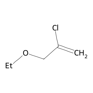 C=C(Cl)COCC